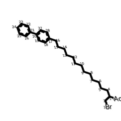 CC(=O)C(CBr)CCCCCCCCCCCCCc1ccc(-c2ccccc2)cc1